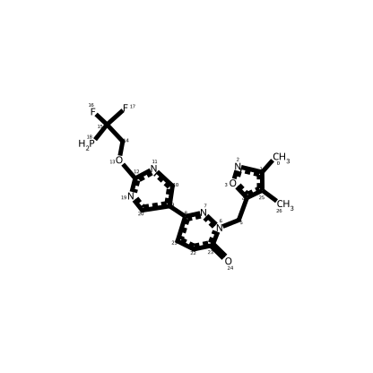 Cc1noc(Cn2nc(-c3cnc(OCC(F)(F)P)nc3)ccc2=O)c1C